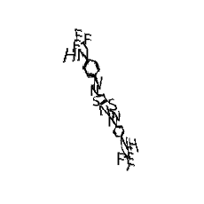 FC(F)(F)CNc1ccc(N=Nc2cc3sc(N=Nc4ccc(NCC(F)(F)F)cc4)nc3s2)cc1